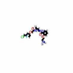 C=C/C(=C\C(F)=C\Cl)OCC(=O)NC(=C)CCNC(=O)c1ccccc1OCCN(C)C